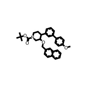 COc1ccc(-c2cccc(C3CCN(C(=O)OC(C)(C)C)CC3OCc3ccc4ccccc4c3)c2)cc1